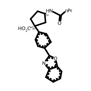 CCCC(=O)N[C@H]1CC[C@](C(=O)O)(c2ccc(-c3nc4ccccc4o3)cc2)C1